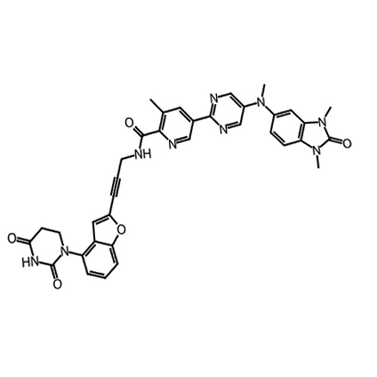 Cc1cc(-c2ncc(N(C)c3ccc4c(c3)n(C)c(=O)n4C)cn2)cnc1C(=O)NCC#Cc1cc2c(N3CCC(=O)NC3=O)cccc2o1